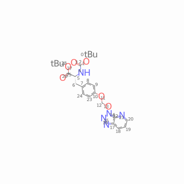 CC(C)(C)OC(=O)N[C@H](Cc1ccc(OCOn2nnc3cccnc32)cc1)C(=O)OC(C)(C)C